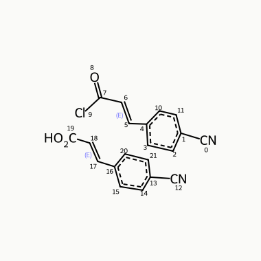 N#Cc1ccc(/C=C/C(=O)Cl)cc1.N#Cc1ccc(/C=C/C(=O)O)cc1